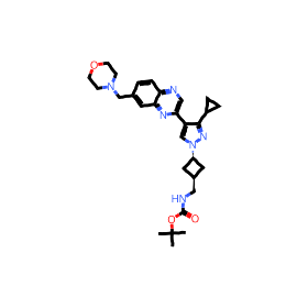 CC(C)(C)OC(=O)NC[C@H]1C[C@H](n2cc(-c3cnc4ccc(CN5CCOCC5)cc4n3)c(C3CC3)n2)C1